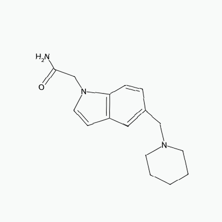 NC(=O)Cn1ccc2cc(CN3CCCCC3)ccc21